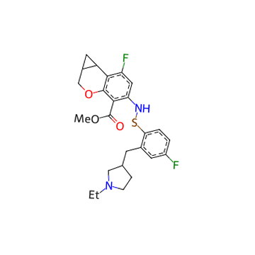 CCN1CCC(Cc2cc(F)ccc2SNc2cc(F)c3c(c2C(=O)OC)OCC2CC32)C1